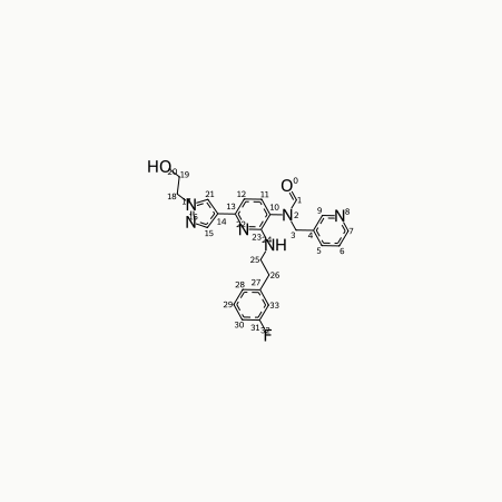 O=CN(Cc1cccnc1)c1ccc(-c2cnn(CCO)c2)nc1NCCc1cccc(F)c1